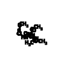 COCCN1CCC(CC(=O)Nc2cc(-n3nc(C)cc3C)nc(-c3ccc(C)o3)n2)C1